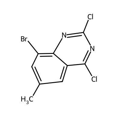 Cc1cc(Br)c2nc(Cl)nc(Cl)c2c1